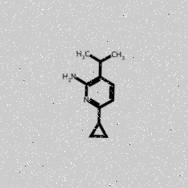 CC(C)c1ccc(C2CC2)nc1N